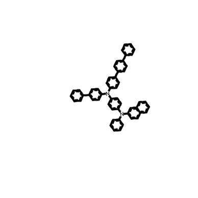 c1ccc(-c2ccc(-c3ccc(N(c4ccc(-c5ccccc5)cc4)c4ccc(N(c5ccccc5)c5ccc6ccccc6c5)cc4)cc3)cc2)cc1